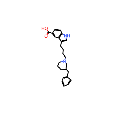 O=C(O)c1ccc2[nH]cc(CCCCN3CCCC(Cc4ccccc4)C3)c2c1